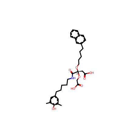 Cc1cc(CCCCCNC(=O)[C@](CC(=O)O)(OCCCCCc2ccc3ccccc3c2)OCC(=O)O)cc(C)c1O